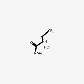 CNC(=O)NCC(F)(F)F.Cl